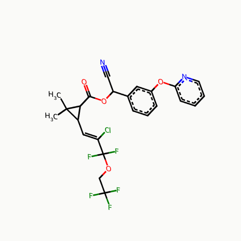 CC1(C)C(C=C(Cl)C(F)(F)OCC(F)(F)F)C1C(=O)OC(C#N)c1cccc(Oc2ccccn2)c1